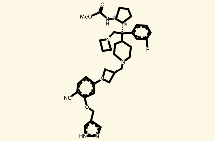 COC(=O)N[C@H]1CCC[C@@H]1C(CN1CCC1)(c1cccc(F)c1)C1CCN(CC2CN(c3ccc(C#N)c(OCc4cn[nH]c4)c3)C2)CC1